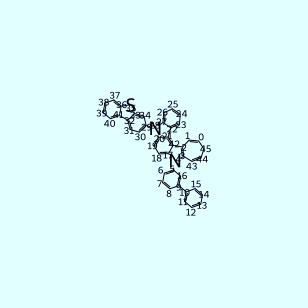 C1=Cc2c(n(-c3cccc(-c4ccccc4)c3)c3ccc4c(c5ccccc5n4-c4ccc5c(c4)sc4ccccc45)c23)C=CC1